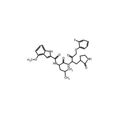 COc1cccc2[nH]c(C(=O)NC(CC(C)C)C(=O)NC(CC3CCNC3=O)C(=O)COc3ccccc3F)cc12